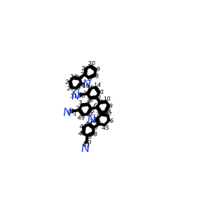 N#Cc1ccc(-c2ccccc2-c2ccc(-n3c4ccccc4c4ccccc43)c(C#N)c2)c(-n2c3c(c4cc(C#N)ccc42)CCC=C3)c1